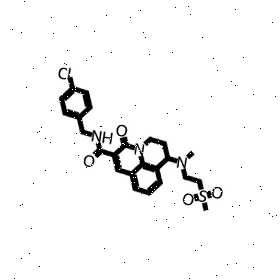 CN(CCS(C)(=O)=O)C1CCn2c(=O)c(C(=O)NCc3ccc(Cl)cc3)cc3cccc1c32